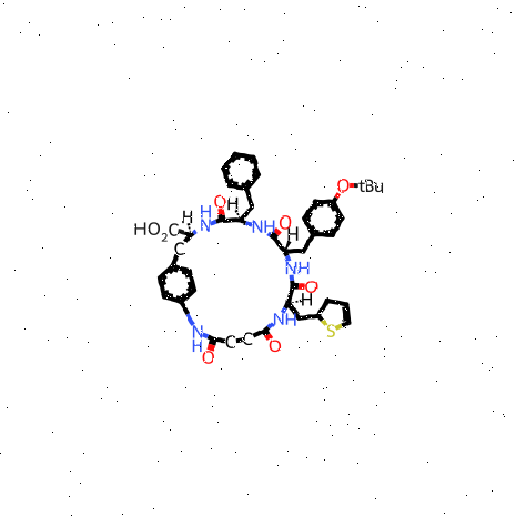 CC(C)(C)Oc1ccc(C[C@@H]2NC(=O)[C@@H](CC3CC=CS3)NC(=O)CCC(=O)Nc3ccc(cc3)C[C@@H](C(=O)O)NC(=O)[C@@H](Cc3ccccc3)NC2=O)cc1